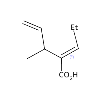 C=CC(C)/C(=C\CC)C(=O)O